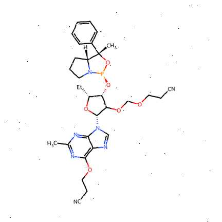 CC[C@H]1O[C@@H](n2cnc3c(OCCC#N)nc(C)nc32)C(OCOCCC#N)[C@H]1O[P@]1O[C@@](C)(c2ccccc2)[C@H]2CCCN21